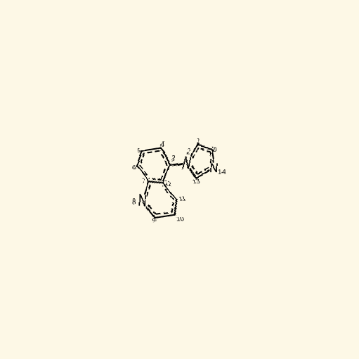 [c]1cn(-c2cccc3ncccc23)cn1